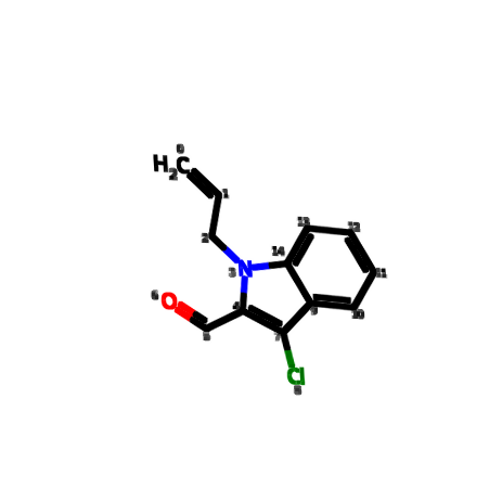 C=CCn1c(C=O)c(Cl)c2ccccc21